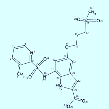 Cc1cccnc1S(=O)(=O)Nc1cc(OCCCS(C)(=O)=O)cc2cc(C(=O)O)[nH]c12